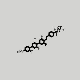 CCCc1ccc(-c2cc(F)c(-c3cc(F)c(CCc4ccc(C(F)(F)OC(F)(F)F)cc4)c(F)c3)c(F)c2)c(F)c1